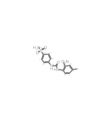 Cc1ccc(NC(=O)Nc2ccc(S(N)(=O)=O)cc2)c([N+](=O)[O-])c1